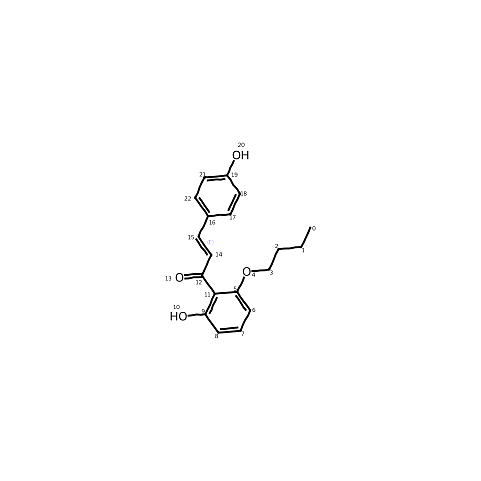 CCCCOc1cccc(O)c1C(=O)/C=C/c1ccc(O)cc1